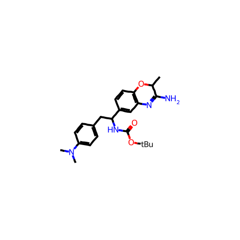 CC1Oc2ccc(C(Cc3ccc(N(C)C)cc3)NC(=O)OC(C)(C)C)cc2N=C1N